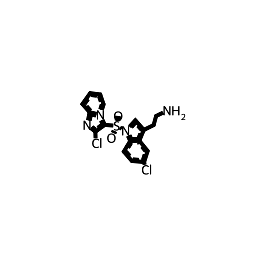 NCCc1cn(S(=O)(=O)c2c(Cl)nc3ccccn23)c2ccc(Cl)cc12